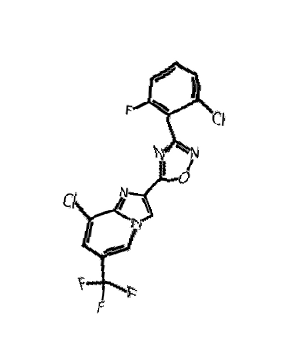 Fc1cccc(Cl)c1-c1noc(-c2cn3cc(C(F)(F)F)cc(Cl)c3n2)n1